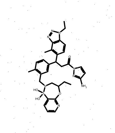 CCC1CN(Cc2cc(C(CC(=O)n3ccc(N)n3)c3ccc4c(nnn4CC)c3C)ccc2C)S(O)(O)c2cccnc2O1